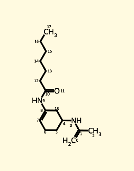 C=C(C)NC1CCC=C(NC(=O)CCCCCC)C1